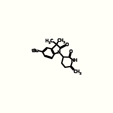 C=C1CCC(N2C(=O)C(C)(C)c3cc(C(C)(C)C)ccc32)C(=O)N1